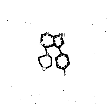 Fc1ccc(-c2c[nH]c3ncnc(N4CCOCC4)c23)cc1